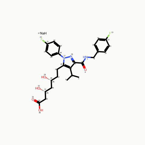 CC(C)c1c(C(=O)NCc2ccc(F)cc2)nn(-c2ccc(F)cc2)c1CC[C@@H](O)C[C@@H](O)CC(=O)O.[NaH]